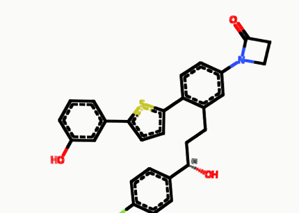 O=C1CCN1c1ccc(-c2ccc(-c3cccc(O)c3)s2)c(CC[C@H](O)c2ccc(F)cc2)c1